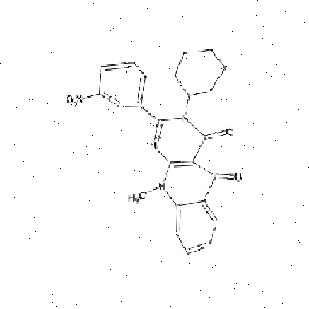 Cn1c2ccccc2c(=O)c2c(=O)n(C3CCCCC3)c(-c3cccc([N+](=O)[O-])c3)nc21